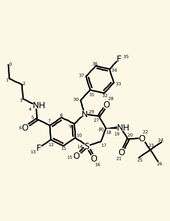 CCCCNC(=O)c1cc2c(cc1F)S(=O)(=O)C[C@H](NC(=O)OC(C)(C)C)C(=O)N2Cc1ccc(F)cc1